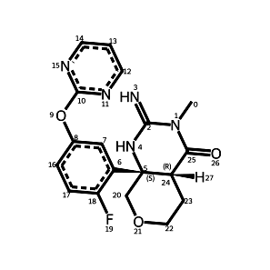 CN1C(=N)N[C@@]2(c3cc(Oc4ncccn4)ccc3F)COCC[C@H]2C1=O